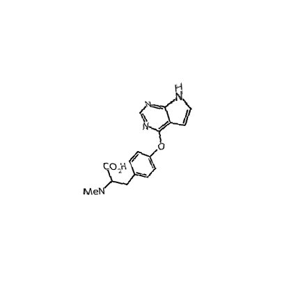 CNC(Cc1ccc(Oc2ncnc3[nH]ccc23)cc1)C(=O)O